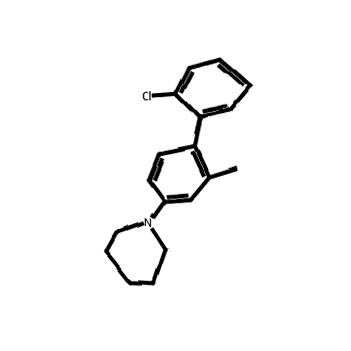 Cc1cc(N2CCCCC2)ccc1-c1ccccc1Cl